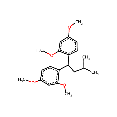 COc1ccc(C(C[C](C)C)c2ccc(OC)cc2OC)c(OC)c1